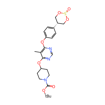 Cc1c(Oc2ccc([C@H]3CO[S@](=O)OC3)cc2)ncnc1OC1CCN(C(=O)OC(C)(C)C)CC1